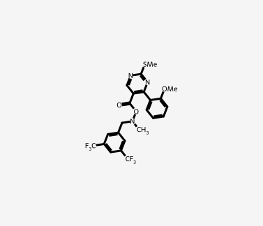 COc1ccccc1-c1nc(SC)ncc1C(=O)ON(C)Cc1cc(C(F)(F)F)cc(C(F)(F)F)c1